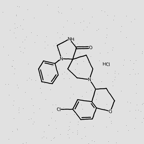 Cl.O=C1NCN(c2ccccc2)C12CCN(C1CCOc3ccc(Cl)cc31)CC2